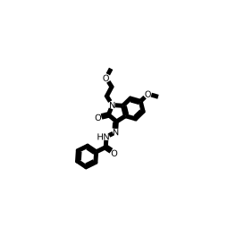 COCCN1C(=O)/C(=N\NC(=O)c2ccccc2)c2ccc(OC)cc21